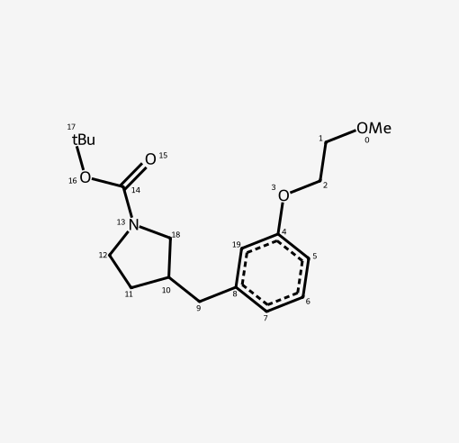 COCCOc1cccc(CC2CCN(C(=O)OC(C)(C)C)C2)c1